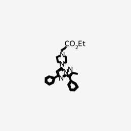 CCOC(=O)CCN1CCN(c2cc(-c3ccccc3)nc3c(-c4ccccc4)c(C)nn23)CC1